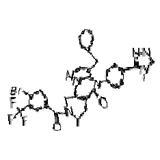 CC1Cc2c(n3ncc(Cc4ccccc4)c3n(-c3ccc(-c4nncn4C)cc3)c2=O)CN1C(=O)c1ccc(Br)c(C(F)(F)F)c1